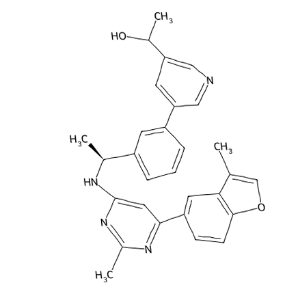 Cc1nc(N[C@@H](C)c2cccc(-c3cncc(C(C)O)c3)c2)cc(-c2ccc3occ(C)c3c2)n1